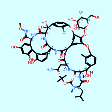 CONC(=O)[C@H]1NC(=O)[C@H]2NC(=O)[C@H](NC(=O)[C@@H]3NC(=O)[C@H](CC(N)=O)NC(=O)[C@H](NC(=O)[C@@H](CC(C)C)N(C)C(=O)OC(C)(C)C)[C@H](O)c4ccc(c(C)c4)Oc4cc3cc(c4O[C@@H]3O[C@H](CO)[C@@H](O)[C@H](O)[C@H]3O)Oc3ccc(cc3Cl)[C@H]2O)c2ccc(O)c(c2)-c2c(O)cc(O)cc21